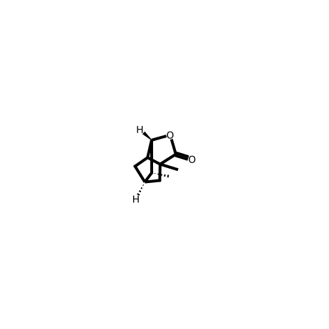 C[C@@H]1[C@@H]2CC3[C@@H]1OC(=O)C3(C)C2